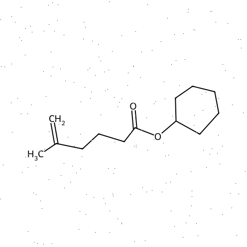 C=C(C)CCCC(=O)OC1CCCCC1